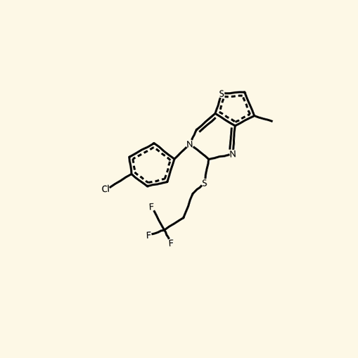 Cc1csc2c1=NC(SCCC(F)(F)F)N(c1ccc(Cl)cc1)C=2